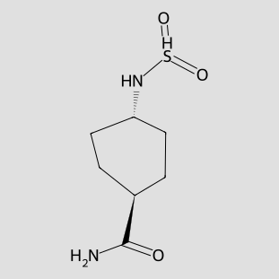 NC(=O)[C@H]1CC[C@H](N[SH](=O)=O)CC1